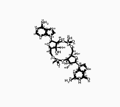 CP1(=O)OC[C@H]2O[C@@H](n3cnc4c(N)ncnc43)[C@H](OP(=O)(S)OC[C@H]3O[C@@H](n4cnc5c(=O)[nH]c(N)nc54)[C@H](F)[C@@H]3O1)[C@@H]2O